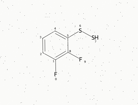 Fc1cccc(SS)c1F